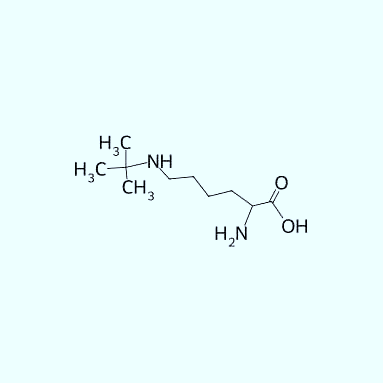 CC(C)(C)NCCCCC(N)C(=O)O